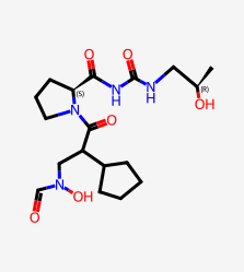 C[C@@H](O)CNC(=O)NC(=O)[C@@H]1CCCN1C(=O)C(CN(O)C=O)C1CCCC1